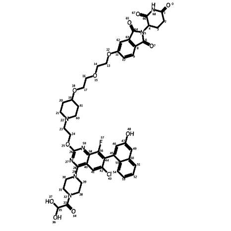 O=C1CCC(N2C(=O)c3ccc(OCCOCCOC4CCN(CCOc5nc(N6CCN(C(=O)C(O)O)CC6)c6cc(Cl)c(-c7cc(O)cc8ccccc78)c(F)c6n5)CC4)cc3C2=O)C(=O)N1